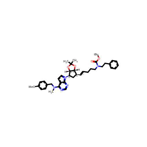 COc1ccc(CN(C)c2ncnc3c2ccn3[C@@H]2C[C@H](/C=C/CCCN(CCc3ccccc3)C(=O)OC(C)(C)C)[C@H]3OC(C)(C)O[C@H]32)cc1